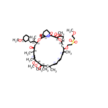 COCCS(=O)(=O)CCOC1C[C@@H]2CC[C@@H](C)[C@@](O)(O2)C(=O)C(=O)N2CCCC[C@H]2C(=O)O[C@H]([C@H](C)C[C@@H]2CCC[C@H](OC)C2)CC(=O)[C@H](C)/C=C(\C)[C@@H](OC)[C@@H](OC)C(=O)[C@H](C)C[C@H](C)/C=C/C=C/C=C/1C